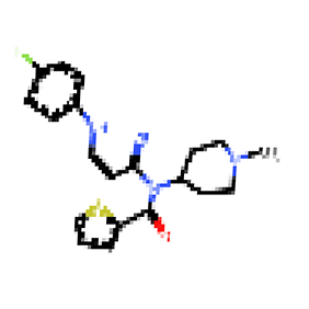 CN1CCC(N(C(=N)/C=C\Nc2ccc(F)cc2)C(=O)c2cccs2)CC1